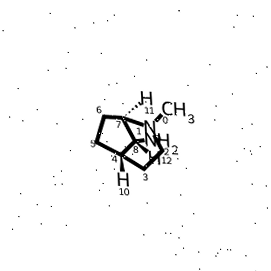 CN1CC[C@@H]2CC[C@@H]1[C@@H]2N